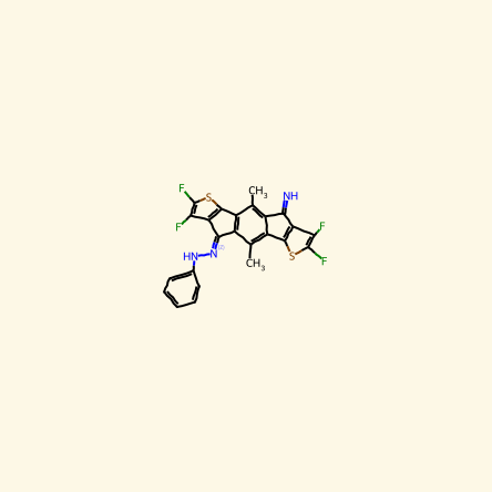 Cc1c2/c(=N/Nc3ccccc3)c3c(F)c(F)sc3c2c(C)c2c(=N)c3c(F)c(F)sc3c12